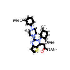 COC(=O)CC1c2sccc2N=C(N2CCN(c3cccc(OC)c3)[C@H](C)C2)N1c1cc(C(F)(F)F)ccc1OC